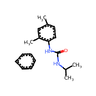 Cc1ccc(NC(=O)NC(C)C)c(C)c1.c1ccccc1